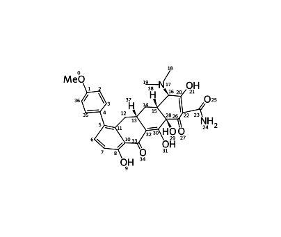 COc1ccc(-c2ccc(O)c3c2C[C@@H]2C[C@@H]4[C@@H](N(C)C)C(O)=C(C(N)=O)C(=O)[C@]4(O)C(O)=C2C3=O)cc1